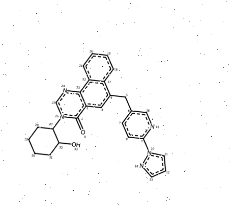 O=c1c2cc(Cc3ccc(-n4cccn4)nc3)c3ccccc3c2ncn1C1CCCCC1O